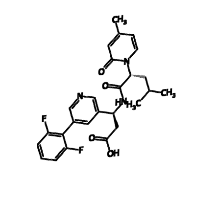 Cc1ccn([C@H](CC(C)C)C(=O)N[C@@H](CC(=O)O)c2cncc(-c3c(F)cccc3F)c2)c(=O)c1